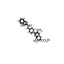 Cc1cn(C[C@H](N)C(=O)O)c(=O)nc1N1CCC(CNc2nc3ccccc3[nH]2)CC1